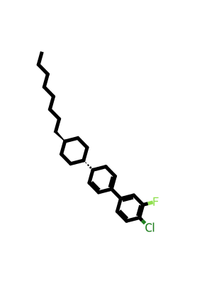 CCCCCCCC[C@H]1CC[C@H](C2C=CC(c3ccc(Cl)c(F)c3)=CC2)CC1